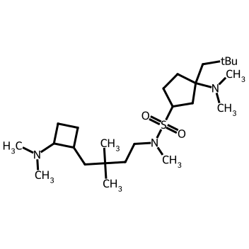 CN(C)C1CCC1CC(C)(C)CCN(C)S(=O)(=O)C1CCC(CC(C)(C)C)(N(C)C)C1